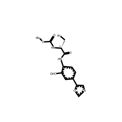 CC(C)C[C@@H](NC(=O)OC(C)(C)C)C(=O)Nc1ccc(-c2cnco2)cc1C=O